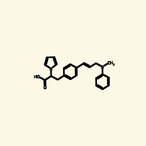 CN(CC=Cc1ccc(CC(C(=O)O)n2cccc2)cc1)c1ccccc1